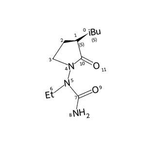 CC[C@H](C)[C@@H]1CCN(N(CC)C(N)=O)C1=O